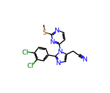 CSc1nccc(-n2c(CC#N)cnc2-c2ccc(Cl)c(Cl)c2)n1